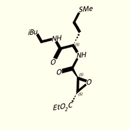 CCOC(=O)[C@H]1O[C@@H]1C(=O)N[C@@H](CCSC)C(=O)NCC(C)CC